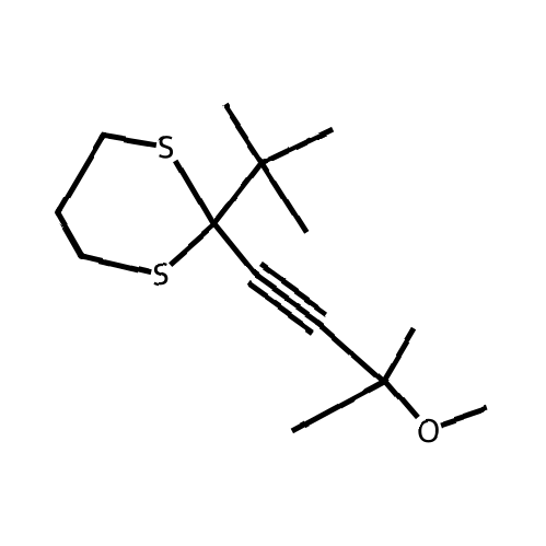 COC(C)(C)C#CC1(C(C)(C)C)SCCCS1